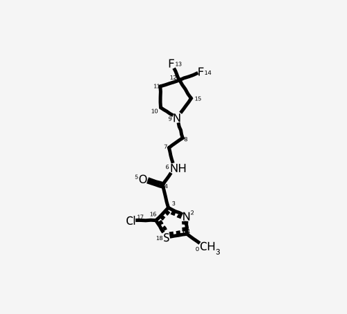 Cc1nc(C(=O)NCCN2CCC(F)(F)C2)c(Cl)s1